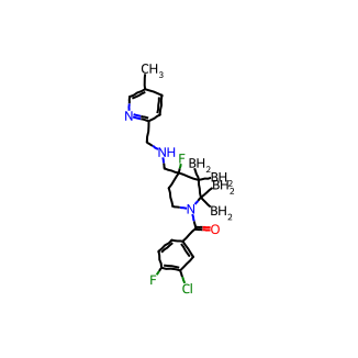 BC1(B)N(C(=O)c2ccc(F)c(Cl)c2)CCC(F)(CNCc2ccc(C)cn2)C1(B)B